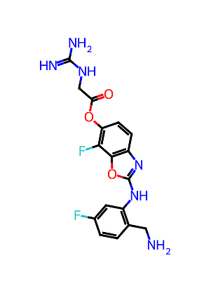 N=C(N)NCC(=O)Oc1ccc2nc(Nc3cc(F)ccc3CN)oc2c1F